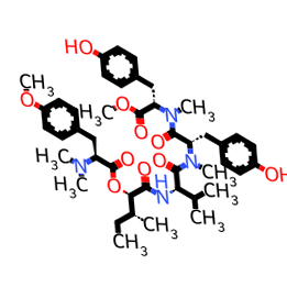 CC[C@@H](C)[C@H](OC(=O)[C@H](Cc1ccc(OC)cc1)N(C)C)C(=O)N[C@H](C(=O)N(C)[C@@H](Cc1ccc(O)cc1)C(=O)N(C)[C@@H](Cc1ccc(O)cc1)C(=O)OC)C(C)C